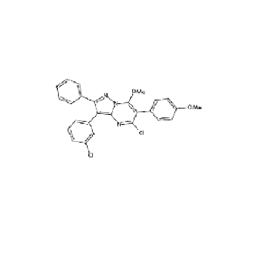 COc1ccc(-c2c(Cl)nc3c(-c4cccc(Cl)c4)c(-c4ccccc4)nn3c2OC)cc1